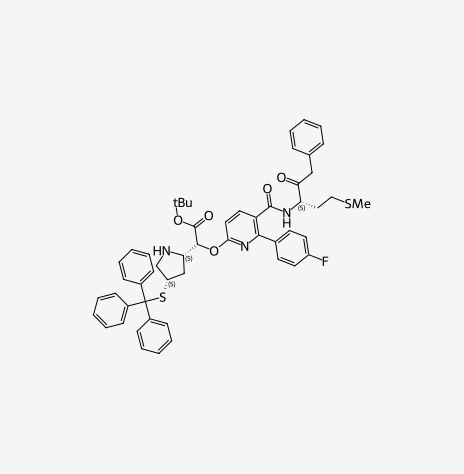 CSCC[C@H](NC(=O)c1ccc(OC(C(=O)OC(C)(C)C)[C@@H]2C[C@H](SC(c3ccccc3)(c3ccccc3)c3ccccc3)CN2)nc1-c1ccc(F)cc1)C(=O)Cc1ccccc1